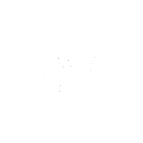 CCC(=O)C(C)CCCC(NC(=O)CCC(NC(C)C)C(=O)CC)C(=O)C(C)C